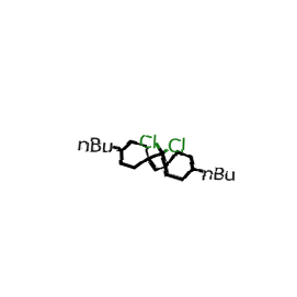 CCCCC1CC[C@]2(CC1)C[C@@]1(CCC(CCCC)CC1)C2(Cl)Cl